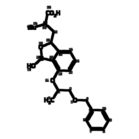 CC(COCc1ccccc1)Oc1cccc2c1B(O)OC2CN(C(=O)O)C(C)(C)C